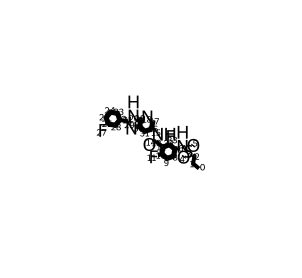 CCCS(=O)(=O)Nc1ccc(F)c(C(=O)Nc2cnc3[nH]c(-c4cccc(F)c4)nc3c2)c1F